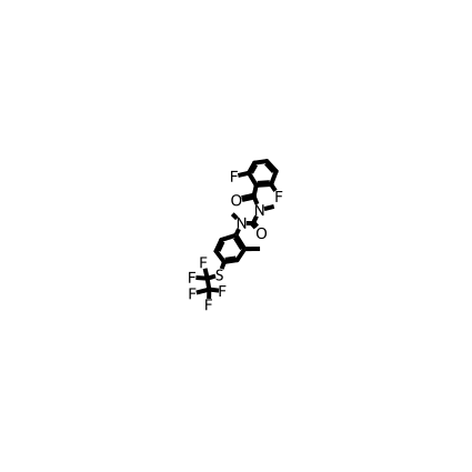 Cc1cc(SC(F)(F)C(F)(F)F)ccc1N(C)C(=O)N(C)C(=O)c1c(F)cccc1F